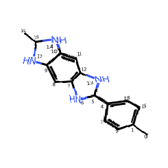 Cc1ccc(C2Nc3cc4c(cc3N2)NC(C)N4)cc1